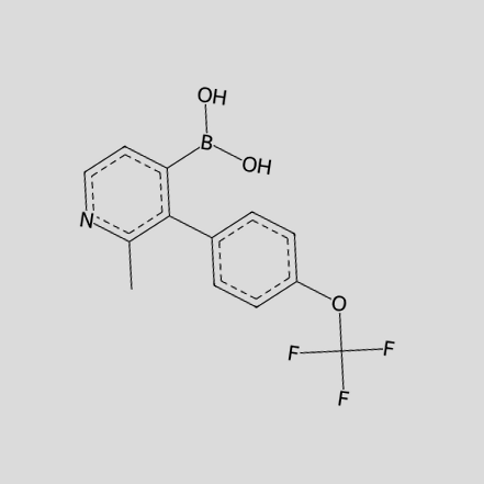 Cc1nccc(B(O)O)c1-c1ccc(OC(F)(F)F)cc1